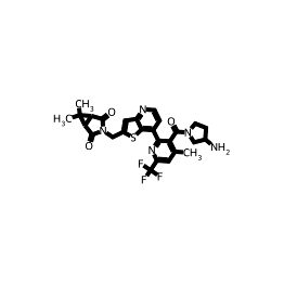 Cc1cc(C(F)(F)F)nc(-c2ccnc3cc(CN4C(=O)C5C(C4=O)C5(C)C)sc23)c1C(=O)N1CCC(N)C1